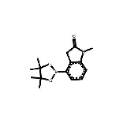 CN1C(=O)Cc2c(B3OC(C)(C)C(C)(C)O3)cccc21